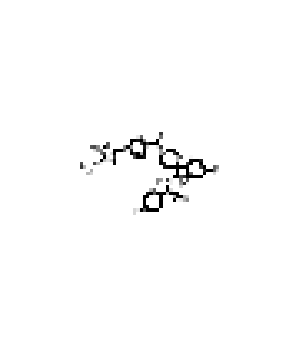 CC1N=C(c2ccc(C(=O)N3CCC(C(=O)NC(c4ccc(F)cc4)C(F)(F)F)(c4ccc(F)cc4)CC3)cc2)ON1